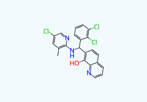 Cc1cc(Cl)cnc1NC(c1cccc(Cl)c1Cl)c1ccc2cccnc2c1O